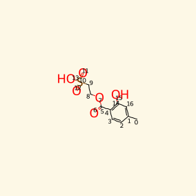 Cc1ccc(C(=O)OCCS(=O)(=O)O)c(O)c1